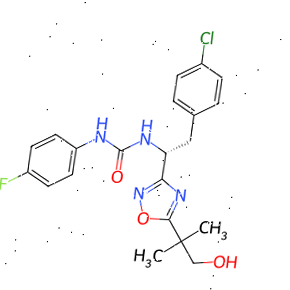 CC(C)(CO)c1nc([C@@H](Cc2ccc(Cl)cc2)NC(=O)Nc2ccc(F)cc2)no1